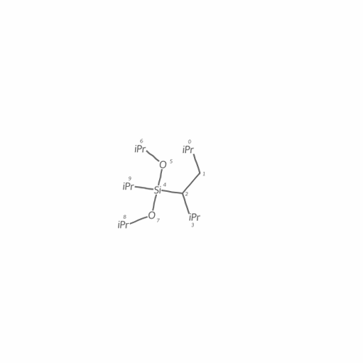 CC(C)CC(C(C)C)[Si](OC(C)C)(OC(C)C)C(C)C